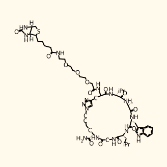 CC(C)C[C@H]1NC(=O)[C@@H](Cc2c[nH]c3ccccc23)NC(=O)[C@@H](C)NC(=O)[C@@H](C(C)C)NC(=O)C(NC(=O)COCCOCCOCCNC(=O)CCCCC2SC[C@H]3NC(=O)N[C@@H]23)Cc2cn(nn2)CCCC[C@@H](C(N)=O)NC(=O)CNC1=O